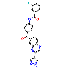 Cn1cc(-c2cnc3ccc(C(=O)c4ccc(NC(=O)c5cccc(F)c5)cc4)cc3n2)cn1